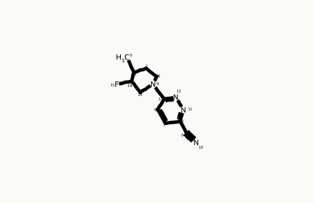 CC1CCN(c2ccc(C#N)nn2)CC1F